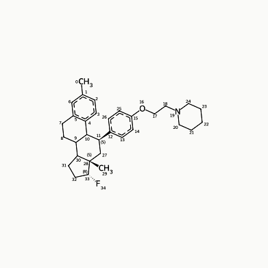 Cc1ccc2c(c1)CCC1C2[C@@H](c2ccc(OCCN3CCCCC3)cc2)C[C@@]2(C)C1CC[C@H]2F